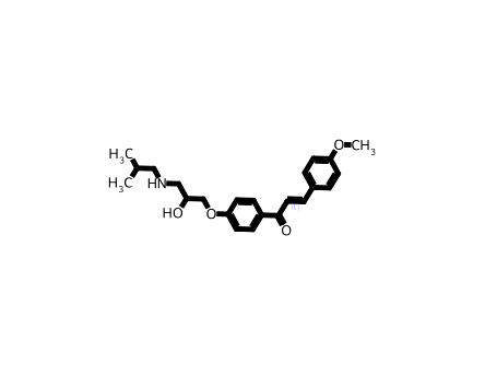 COc1ccc(/C=C/C(=O)c2ccc(OCC(O)CNCC(C)C)cc2)cc1